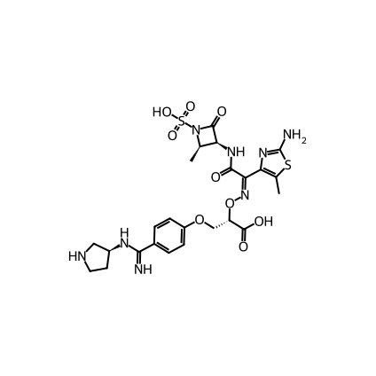 Cc1sc(N)nc1/C(=N/O[C@@H](COc1ccc(C(=N)N[C@H]2CCNC2)cc1)C(=O)O)C(=O)N[C@@H]1C(=O)N(S(=O)(=O)O)[C@@H]1C